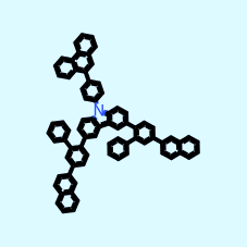 c1ccc(-c2cc(-c3ccc4ccccc4c3)ccc2-c2ccc3c(c2)c2cc(-c4ccc(-c5ccc6ccccc6c5)cc4-c4ccccc4)ccc2n3-c2ccc(-c3cc4ccccc4c4ccccc34)cc2)cc1